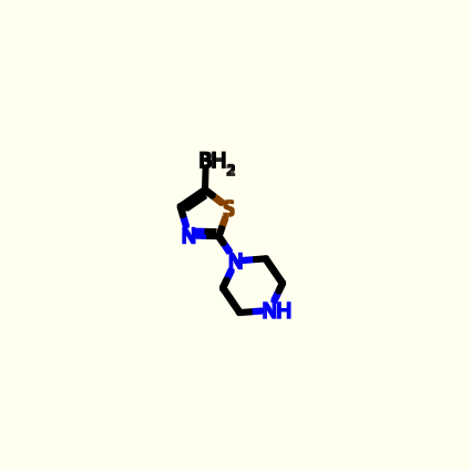 Bc1cnc(N2CCNCC2)s1